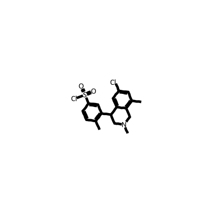 Cc1ccc(S(=O)(=O)Cl)cc1C1CN(C)Cc2c(C)cc(Cl)cc21